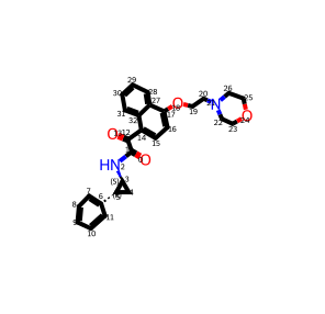 O=C(N[C@H]1C[C@@H]1c1ccccc1)C(=O)c1ccc(OCCN2CCOCC2)c2ccccc12